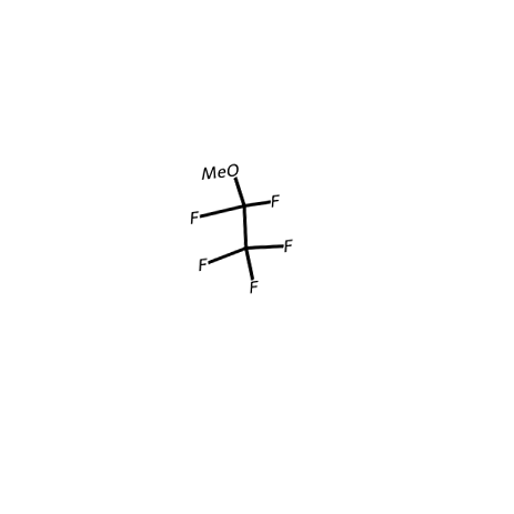 [CH2]OC(F)(F)C(F)(F)F